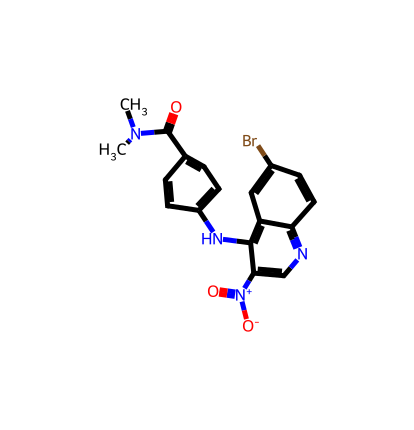 CN(C)C(=O)c1ccc(Nc2c([N+](=O)[O-])cnc3ccc(Br)cc23)cc1